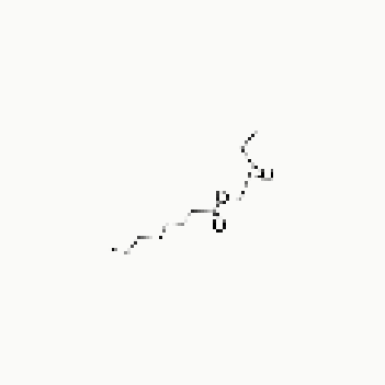 CCCCCCCC(=O)OCC1OC1CC